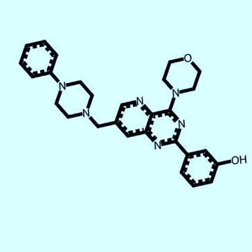 Oc1cccc(-c2nc(N3CCOCC3)c3ncc(CN4CCN(c5ccccc5)CC4)cc3n2)c1